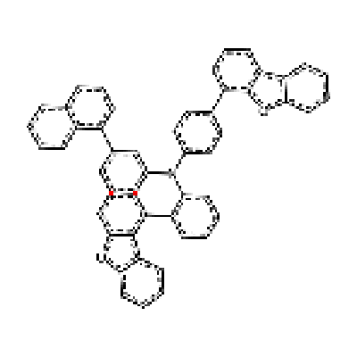 c1cc(-c2cccc3ccccc23)cc(N(c2ccc(-c3cccc4c3oc3ccccc34)cc2)c2ccccc2-c2cccc3oc4ccccc4c23)c1